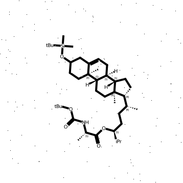 CC(C)[C@H](CC[C@@H](C)[C@H]1CC[C@H]2[C@@H]3CC=C4CC(O[Si](C)(C)C(C)(C)C)CC[C@]4(C)[C@H]3CC[C@]12C)OC(=O)[C@H](C)NC(=O)OC(C)(C)C